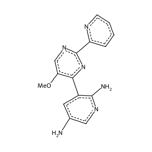 COc1cnc(-c2ccccn2)nc1-c1cc(N)cnc1N